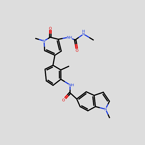 CNC(=O)Nc1cc(-c2cccc(NC(=O)c3ccc4c(ccn4C)c3)c2C)cn(C)c1=O